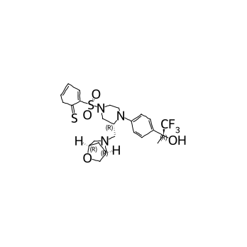 C[C@@](O)(c1ccc(N2CCN(S(=O)(=O)C3=CC=CCC3=S)C[C@H]2CN2C[C@H]3C[C@@H]2CO3)cc1)C(F)(F)F